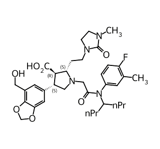 CCCC(CCC)N(C(=O)CN1C[C@H](c2cc(CO)c3c(c2)OCO3)[C@@H](C(=O)O)[C@@H]1CCN1CCN(C)C1=O)c1ccc(F)c(C)c1